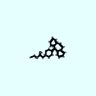 CCOC(=O)CN1CCC(=C2c3ccccc3C=Cc3ccccc32)CC1